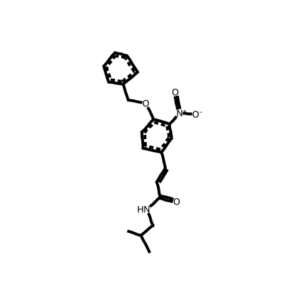 CC(C)CNC(=O)/C=C/c1ccc(OCc2ccccc2)c([N+](=O)[O-])c1